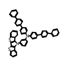 C1=CCC2C(=C1)Sc1c2n(-c2cccc(N(c3ccc(-c4ccc(-c5ccccc5)cc4)cc3)c3ccc(-c4ccc(-c5ccccc5)cc4)cc3)c2)c2c1sc1ccccc12